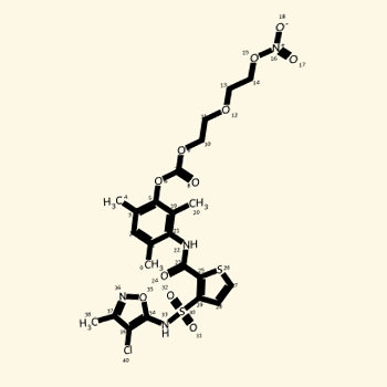 Cc1cc(C)c(OC(=O)OCCOCCO[N+](=O)[O-])c(C)c1NC(=O)c1sccc1S(=O)(=O)Nc1onc(C)c1Cl